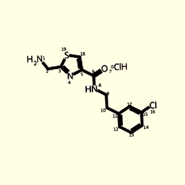 Cl.NCc1nc(C(=O)NCCc2cccc(Cl)c2)cs1